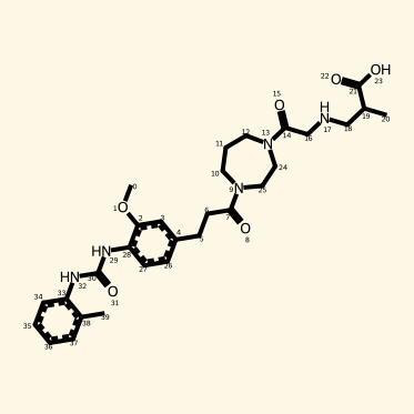 COc1cc(CCC(=O)N2CCCN(C(=O)CNCC(C)C(=O)O)CC2)ccc1NC(=O)Nc1ccccc1C